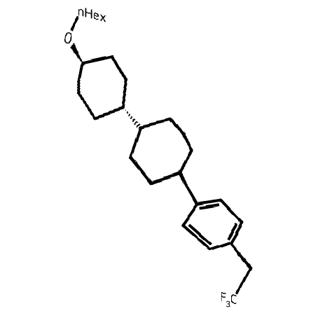 CCCCCCO[C@H]1CC[C@H](C2CCC(c3ccc(CC(F)(F)F)cc3)CC2)CC1